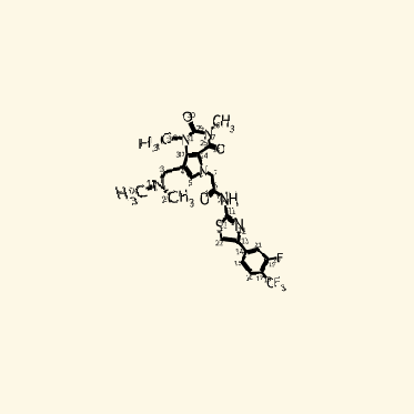 CN(C)Cc1cn(CC(=O)Nc2nc(-c3ccc(C(F)(F)F)c(F)c3)cs2)c2c(=O)n(C)c(=O)n(C)c12